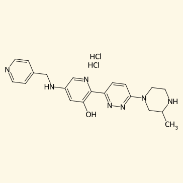 CC1CN(c2ccc(-c3ncc(NCc4ccncc4)cc3O)nn2)CCN1.Cl.Cl